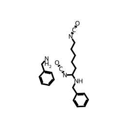 NCc1ccccc1.O=C=NCCCCCC(N=C=O)NCc1ccccc1